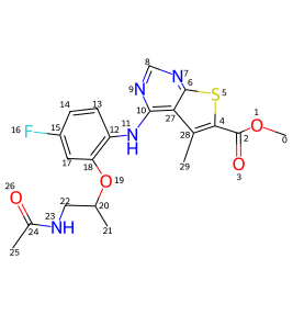 COC(=O)c1sc2ncnc(Nc3ccc(F)cc3OC(C)CNC(C)=O)c2c1C